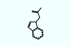 C=C(C)[CH]C1C=Cc2ccccc21